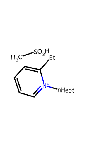 CCCCCCC[n+]1ccccc1CC.CS(=O)(=O)O